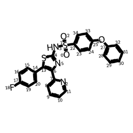 O=S(=O)(Nc1nc(-c2ccccn2)c(-c2ccc(F)cc2)s1)c1ccc(Oc2ccccc2)cc1